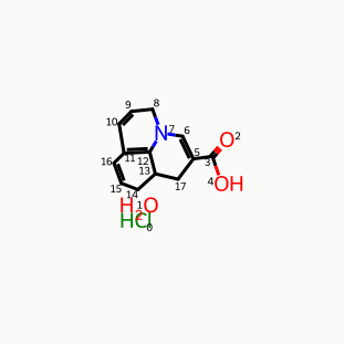 Cl.O.O=C(O)C1=CN2CC=CC3=C2C(CC=C3)C1